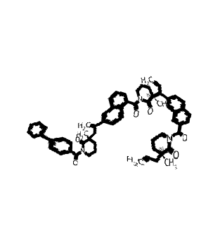 C=CC[C@]1(C)CCCN(C(=O)c2ccc3ccc(C(C=C)[C@]4(C)CCCN(C(=O)c5cccc6cc(C(=C)C[C@]7(C)CCCN(C(=O)c8ccc(-c9ccccc9)cc8)C7=O)ccc56)C4=O)cc3c2)C1=O